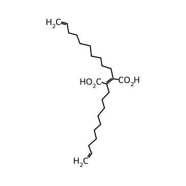 C=CCCCCCCCCC(C(=O)O)=C(CCCCCCCCC=C)C(=O)O